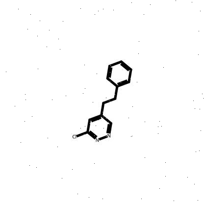 Clc1cc(CCc2ccccc2)cnn1